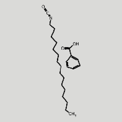 CCCCCCCCCCCCCCCCN=C=O.O=C(O)c1ccccc1